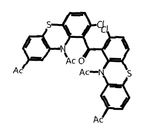 CC(=O)c1ccc2c(c1)N(C(C)=O)c1c(ccc(Cl)c1C(=O)c1c(Cl)ccc3c1N(C(C)=O)c1cc(C(C)=O)ccc1S3)S2